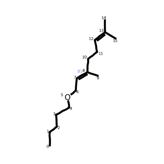 CCCCCOC/C=C(\C)CCC=C(C)C